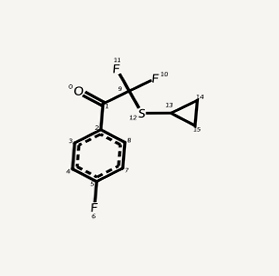 O=C(c1ccc(F)cc1)C(F)(F)SC1CC1